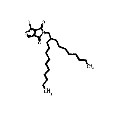 CCCCCCCCCCC(CCCCCCCC)CN1C(=O)c2csc(I)c2C1=O